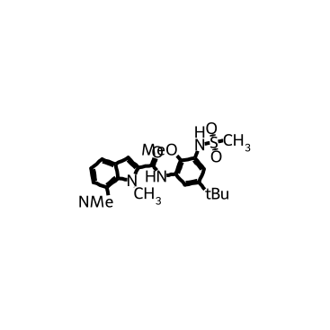 CNc1cccc2cc(C(=O)Nc3cc(C(C)(C)C)cc(NS(C)(=O)=O)c3OC)n(C)c12